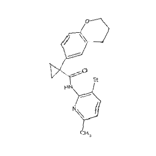 CCc1ccc(C)nc1NC(=O)C1(c2ccc3c(c2)CCCO3)CC1